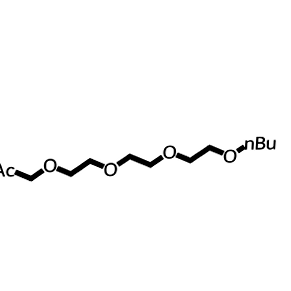 CCCCOCCOCCOCCOCC(C)=O